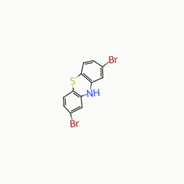 Brc1ccc2c(c1)Nc1cc(Br)ccc1S2